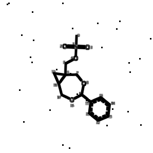 CS(=O)(=O)OCC12COC(c3ccccc3)OCC1C2